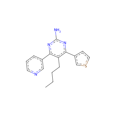 CCCCc1c(-c2cccnc2)nc(N)nc1-c1ccsc1